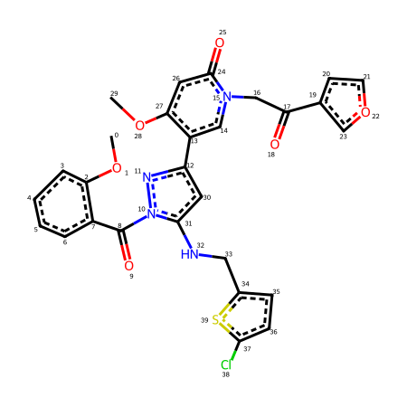 COc1ccccc1C(=O)n1nc(-c2cn(CC(=O)c3ccoc3)c(=O)cc2OC)cc1NCc1ccc(Cl)s1